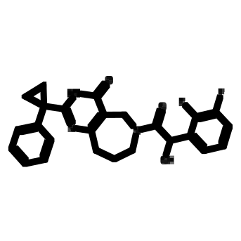 O=C(C(O)c1cccc(F)c1F)N1CCCc2nc(C3(c4ccccc4)CC3)[nH]c(=O)c2C1